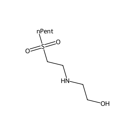 CCCCCS(=O)(=O)CCNCCO